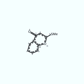 CSc1cc(=O)c2ccccc2o1